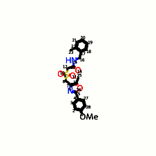 COc1ccc(-c2nc(CS(=O)(=O)CC(=O)NCc3ccccc3C)c(C)o2)cc1